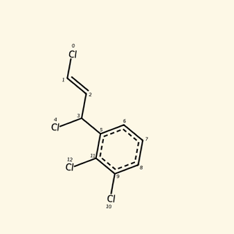 ClC=CC(Cl)c1cccc(Cl)c1Cl